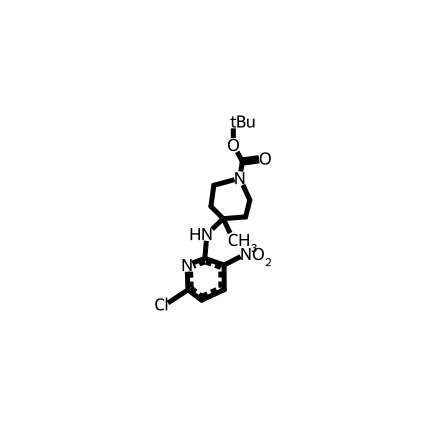 CC1(Nc2nc(Cl)ccc2[N+](=O)[O-])CCN(C(=O)OC(C)(C)C)CC1